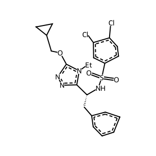 CCn1c(OCC2CC2)nnc1[C@@H](Cc1ccccc1)NS(=O)(=O)c1ccc(Cl)c(Cl)c1